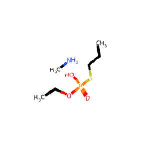 CCCSP(=O)(O)OCC.CN